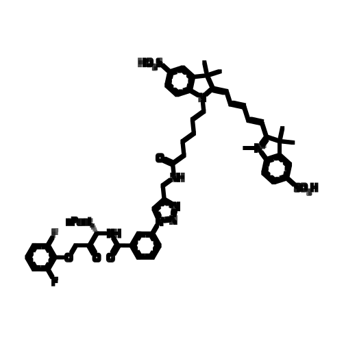 CCCCC[C@H](NC(=O)c1cccc(-n2cc(CNC(=O)CCCCCN3\C(=C/C=C/C=C/C4=[N+](C)c5ccc(S(=O)(=O)O)cc5C4(C)C)C(C)(C)c4cc(S(=O)(=O)O)ccc43)nn2)c1)C(=O)COc1c(F)cccc1F